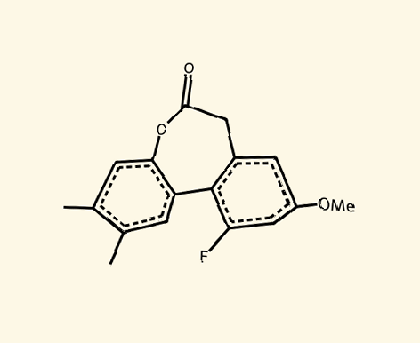 COc1cc(F)c2c(c1)CC(=O)Oc1cc(C)c(C)cc1-2